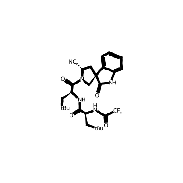 CC(C)(C)C[C@H](NC(=O)C(F)(F)F)C(=O)N[C@@H](CC(C)(C)C)C(=O)N1C[C@]2(C[C@H]1C#N)C(=O)Nc1ccccc12